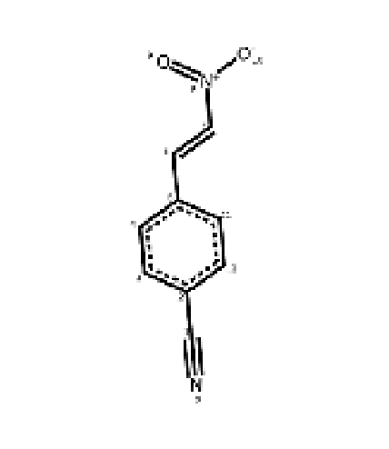 N#Cc1ccc(/C=C/[N+](=O)[O-])cc1